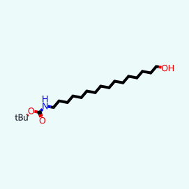 CC(C)(C)OC(=O)NCCCCCCCCCCCCCCCCO